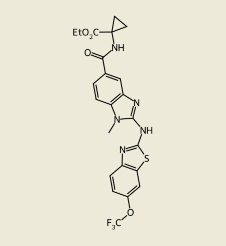 CCOC(=O)C1(NC(=O)c2ccc3c(c2)nc(Nc2nc4ccc(OC(F)(F)F)cc4s2)n3C)CC1